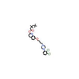 CC(C)(C)CC(C)(C)CC(=O)OC1=Nc2cc(OCCCCN3CCN(c4cccc(Cl)c4Cl)CC3)ccc2CC1